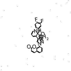 NC(=O)C1(Cc2ccc(F)c(F)c2)NC=CC=C1c1cn(-c2cccc3ccc(=O)oc23)nn1